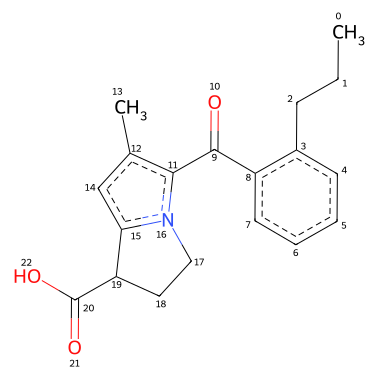 CCCc1ccccc1C(=O)c1c(C)cc2n1CCC2C(=O)O